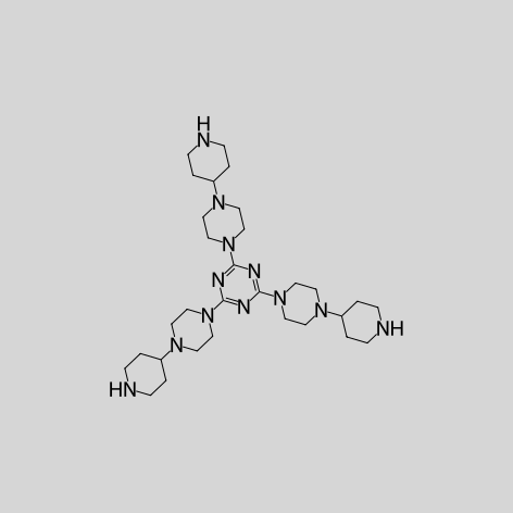 C1CC(N2CCN(c3nc(N4CCN(C5CCNCC5)CC4)nc(N4CCN(C5CCNCC5)CC4)n3)CC2)CCN1